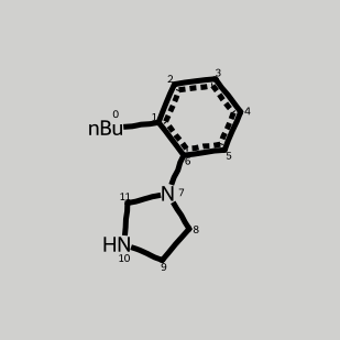 CCCCc1ccccc1N1CCNC1